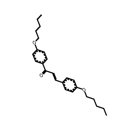 CCCCCOc1ccc(/C=C/C(=O)c2ccc(OCCCCC)cc2)cc1